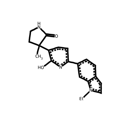 CCn1ccc2ccc(-c3ccc(C4(C)CCNC4=O)c(O)n3)cc21